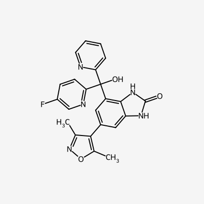 Cc1noc(C)c1-c1cc(C(O)(c2ccccn2)c2ccc(F)cn2)c2[nH]c(=O)[nH]c2c1